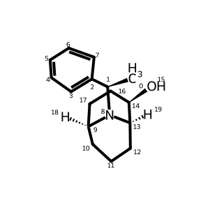 C[C@H](c1ccccc1)N1[C@H]2CCC[C@@H]1[C@H](O)CC2